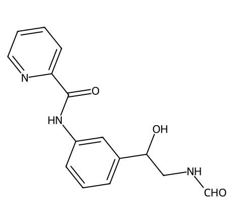 O=CNCC(O)c1cccc(NC(=O)c2ccccn2)c1